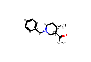 COC(=O)[C@H]1CN(Cc2ccccc2)CC[C@H]1C#N